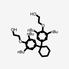 CCCCc1cc(C2(c3cc(CCCC)c(OCCO)c(CCCC)c3)CCCCC2)cc(CCCC)c1OCCO